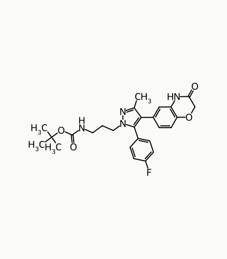 Cc1nn(CCCNC(=O)OC(C)(C)C)c(-c2ccc(F)cc2)c1-c1ccc2c(c1)NC(=O)CO2